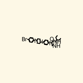 CCC(CC)NC(=O)N(C=N)c1ccc(N2CCN(c3ccc(Br)cc3)CC2)cc1